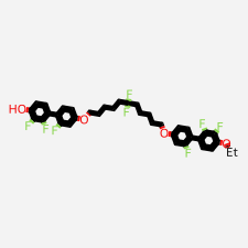 CCOc1ccc(-c2ccc(OCCCCCC(F)(F)CCCCCOc3ccc(-c4ccc(O)c(F)c4F)c(F)c3)cc2F)c(F)c1F